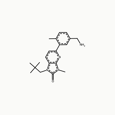 Cc1ccc(CN)cc1-c1ccc2c(n1)n(C)c(=O)n2CC(C)(C)C